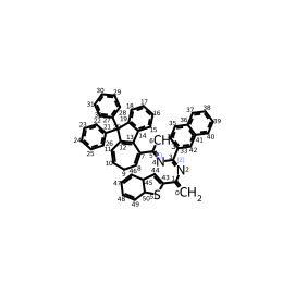 C=C(/N=C(\N=C(/C)C1=CCC=CC2=C1c1ccccc1C2(c1ccccc1)c1ccccc1)c1ccc2ccccc2c1)C1=CC2C=CC=CC2S1